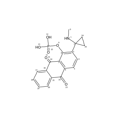 CNC1(c2ccc3c(c2OP(=O)(O)O)C(=O)c2ccccc2C3=O)CC1